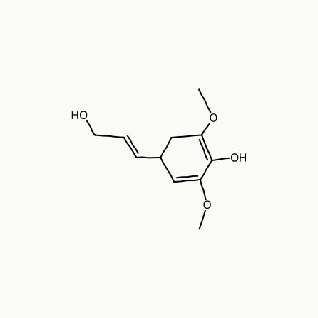 COC1=CC(C=CCO)CC(OC)=C1O